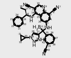 BC(Nc1cc(C#N)c2ncc(C#N)c(N[C@H](CC)c3ccccc3)c2c1)(C1=CN(C2CC2)NN1)c1cccc(C#N)c1